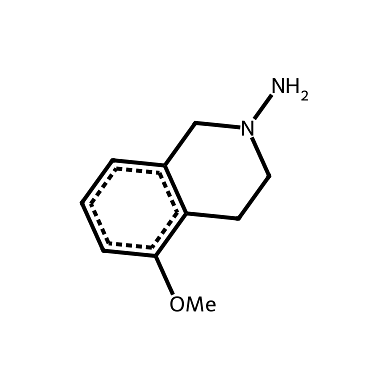 COc1cccc2c1CCN(N)C2